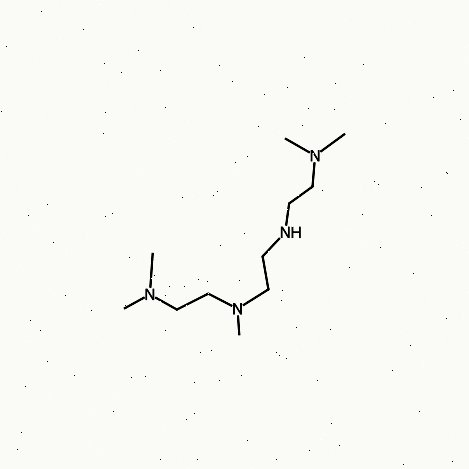 CN(C)CCNCCN(C)CCN(C)C